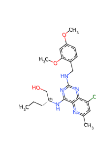 CCC[C@H](CO)Nc1nc(NCc2ccc(OC)cc2OC)nc2c(Cl)cc(C)nc12